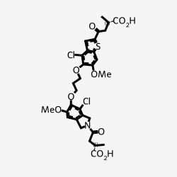 COc1cc2c(c(Cl)c1OCCCOc1c(OC)cc3sc(C(=O)C[C@H](C)C(=O)O)cc3c1Cl)CN(C(=O)C[C@H](C)C(=O)O)C2